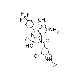 CCOc1c(CC(N)=O)cc([C@@](O)(CNC(=O)c2cc(Cl)c3nn(C4CC4)cc3c2)C2CC2)nc1-c1ccc(C(F)(F)F)cc1